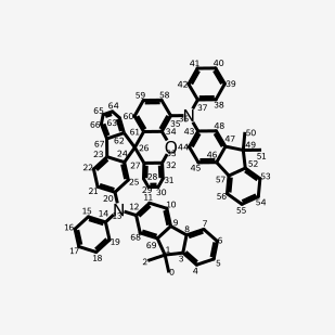 CC1(C)c2ccccc2-c2ccc(N(c3ccccc3)c3ccc4c(c3)C3(c5ccccc5Oc5c(N(c6ccccc6)c6ccc7c(c6)C(C)(C)c6ccccc6-7)cccc53)c3ccccc3-4)cc21